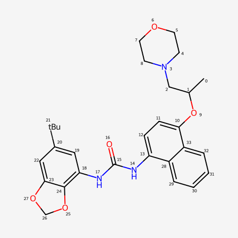 CC(CN1CCOCC1)Oc1ccc(NC(=O)Nc2cc(C(C)(C)C)cc3c2OCO3)c2ccccc12